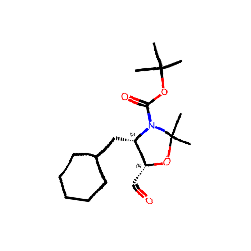 CC(C)(C)OC(=O)N1[C@@H](CC2CCCCC2)[C@@H](C=O)OC1(C)C